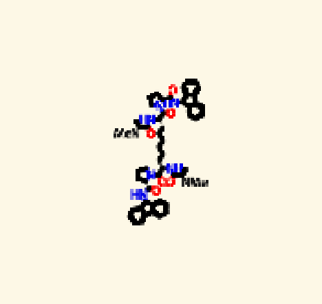 CN[C@@H](C)C(=O)N[C@@H](CCCCCC[C@H](NC(=O)[C@H](C)NC)C(=O)N1CCC[C@H]1C(=O)NC1c2ccccc2-c2ccccc21)C(=O)N1CCC[C@H]1C(=O)NC1c2ccccc2-c2ccccc21